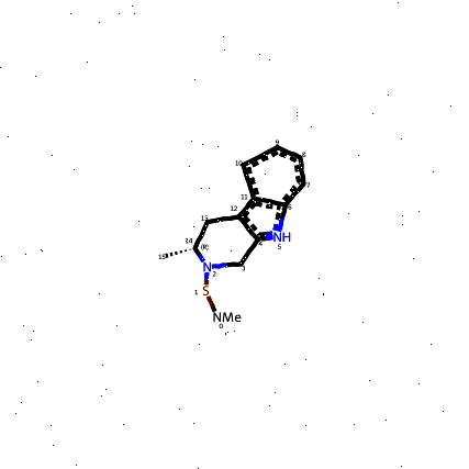 CNSN1Cc2[nH]c3ccccc3c2C[C@H]1C